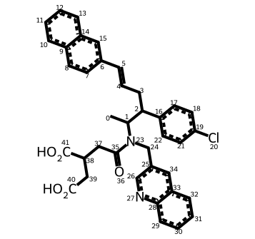 CC(C(C/C=C/c1ccc2ccccc2c1)c1ccc(Cl)cc1)N(Cc1cnc2ccccc2c1)C(=O)CC(CC(=O)O)C(=O)O